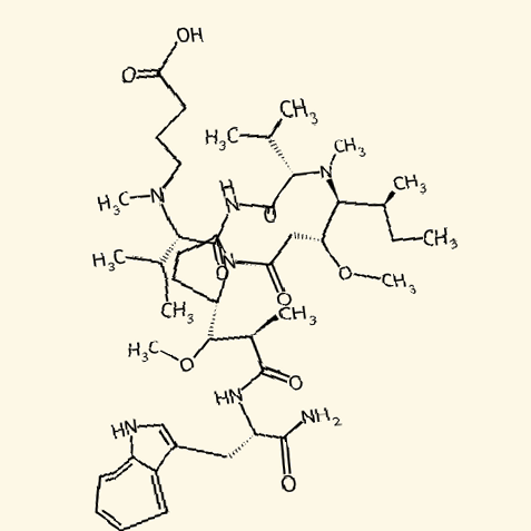 CC[C@H](C)[C@@H]([C@@H](CC(=O)N1CCC[C@H]1C(OC)[C@@H](C)C(=O)N[C@@H](Cc1c[nH]c2ccccc12)C(N)=O)OC)N(C)[C@H](C(=O)NC(=O)[C@H](C(C)C)N(C)CCCC(=O)O)C(C)C